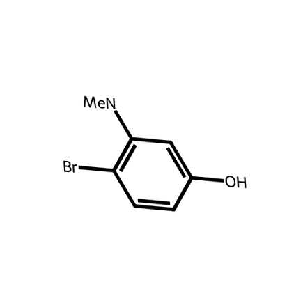 CNc1cc(O)ccc1Br